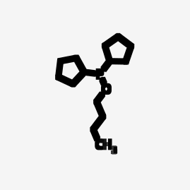 CCCCOP(C1CCCC1)C1CCCC1